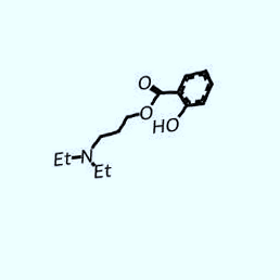 CCN(CC)CCCOC(=O)c1ccccc1O